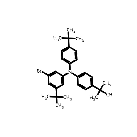 CC(C)(C)c1ccc(N(c2ccc(C(C)(C)C)cc2)c2cc(Br)cc(C(C)(C)C)c2)cc1